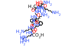 Cc1cccc(C[C@H](NC(=O)[C@@H]2CCCN2C(=O)[C@@H](CCCN)NC(=O)CNC(=O)[C@H](C)NC(=O)[C@@H](NC(=O)[C@@H](N)CCCCN)[C@@H](O)CN)C(=O)N[C@@H](CCCCN)C(=O)N/C(=C\CCNC(=N)N)C(=O)O)c1